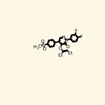 CCC=C(CC)Oc1c(-c2ccc(S(C)(=O)=O)cc2)cnn(-c2ccc(F)c(F)c2)c1=O